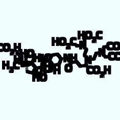 C[C@H](CCC(=O)O)[C@H]1CC[C@H]2[C@@H]3[C@H](O)C[C@@H]4C[C@@H](NC(=O)CCC(C(=O)O)N(CCN(CC(=O)O)CC(=O)O)CCN(CC(=O)O)CC(=O)O)CC[C@]4(C)[C@H]3C[C@H](O)[C@]12C